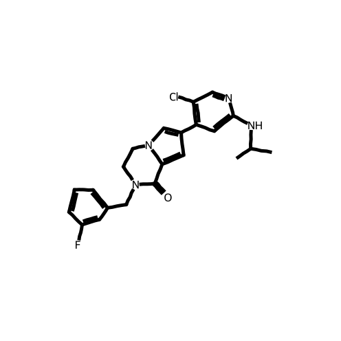 CC(C)Nc1cc(-c2cc3n(c2)CCN(Cc2cccc(F)c2)C3=O)c(Cl)cn1